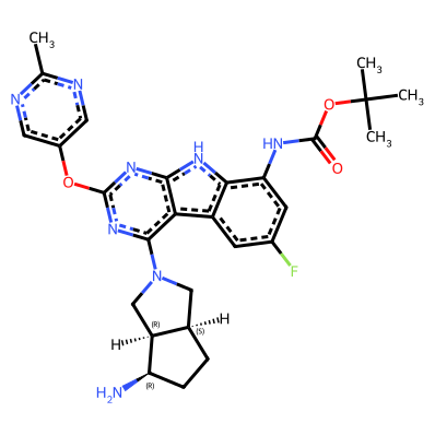 Cc1ncc(Oc2nc(N3C[C@H]4CC[C@@H](N)[C@H]4C3)c3c(n2)[nH]c2c(NC(=O)OC(C)(C)C)cc(F)cc23)cn1